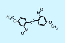 COc1ccc(SSc2ccc(OC)cc2N=O)c(N=O)c1